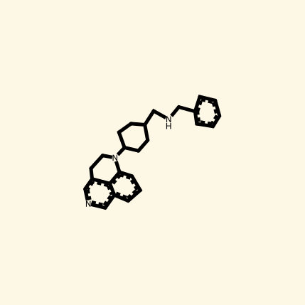 c1ccc(CNCC2CCC(N3CCc4cncc5cccc3c45)CC2)cc1